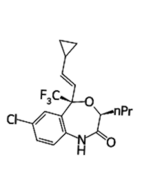 CCC[C@@H]1O[C@](/C=C/C2CC2)(C(F)(F)F)c2cc(Cl)ccc2NC1=O